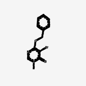 Cn1cnc(OCc2ccccc2)c(Br)c1=O